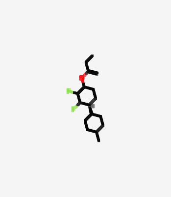 C=C(CC)OC1CC[C@@H](C2CCC(C)CC2)C(F)C1F